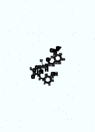 COC(=O)C(Cc1cccc(O)c1)NC(=O)[C@H](C)NC(=O)Cc1cccc([N+](=O)[O-])c1